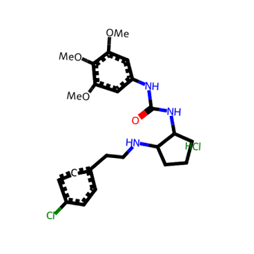 COc1cc(NC(=O)NC2CCCC2NCCc2ccc(Cl)cc2)cc(OC)c1OC.Cl